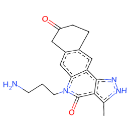 Cc1[nH]nc2c1c(=O)n(CCCN)c1cc3c(cc21)CCC(=O)C3